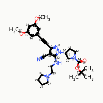 COc1cc(C#Cc2nn([C@H]3CCN(C(=O)OC(C)(C)C)C3)c(NCCN3CCCC3)c2C#N)cc(OC)c1